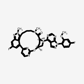 COc1cc(F)ccc1-n1ncc2c(N3C[C@@H]4C[C@H]3C(=O)N(C)CCCc3c5c(cc(F)cc5nn3C)-c3ccnc(n3)O4)ncnc21